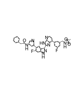 CS(=O)(=O)NCc1cc(F)cc(-c2ccnc3[nH]c(-c4n[nH]c5cc(F)c(-c6cncc(NC(=O)Cc7ccccc7)c6)cc45)nc23)c1